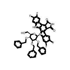 O=C1NC(=O)c2c1c1c3cc(F)c(F)cc3[nH]c1c1c2c2cc(F)c(F)cc2n1[C@@H]1O[C@H](CO)[C@@H](OCc2ccccc2)[C@H](OCc2ccccc2)[C@H]1OCc1ccccc1